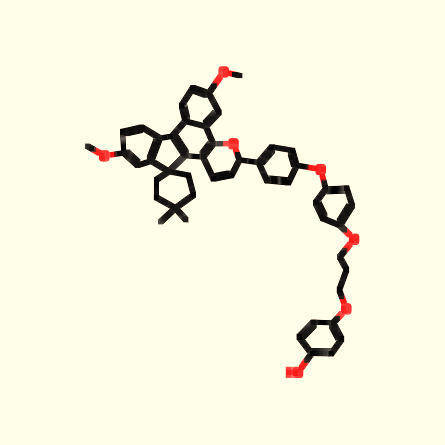 COc1ccc2c(c1)C1(CCC(C)(C)CC1)c1c3c(c4cc(OC)ccc4c1-2)OC(c1ccc(Oc2ccc(OCCCOc4ccc(O)cc4)cc2)cc1)C=C3